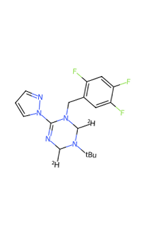 [2H]C1N=C(n2cccn2)N(Cc2cc(F)c(F)cc2F)C([2H])N1C(C)(C)C